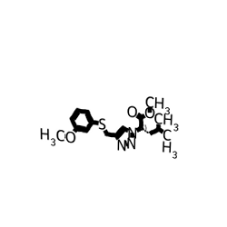 COC(=O)[C@H](CC(C)C)n1cc(CSc2cccc(OC)c2)nn1